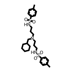 Cc1ccc(S(=O)(=O)NCCCN(CCCNS(=O)(=O)c2ccc(C)cc2)CC2CCCCC2)cc1